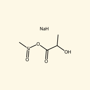 CC(O)C(=O)O[Si](C)=O.[NaH]